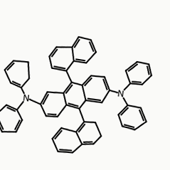 C1=CCCC(N(c2ccccc2)c2ccc3c(C4=c5ccccc5=CCC4)c4cc(N(c5ccccc5)c5ccccc5)ccc4c(-c4cccc5ccccc45)c3c2)=C1